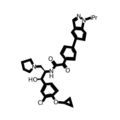 CC(C)n1ncc2cc(-c3ccc(C(=O)C(=O)N[C@H](CN4CCCC4)[C@H](O)c4ccc(OC5CC5)c(Cl)c4)cc3)ccc21